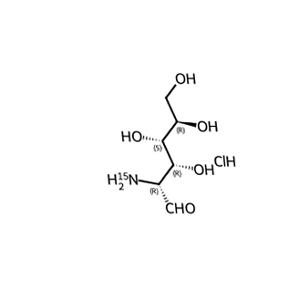 Cl.[15NH2][C@@H](C=O)[C@@H](O)[C@H](O)[C@H](O)CO